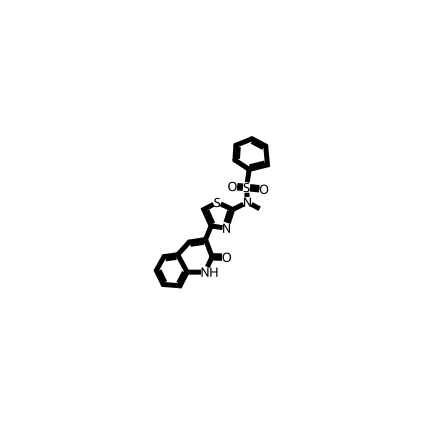 CN(c1nc(-c2cc3ccccc3[nH]c2=O)cs1)S(=O)(=O)c1ccccc1